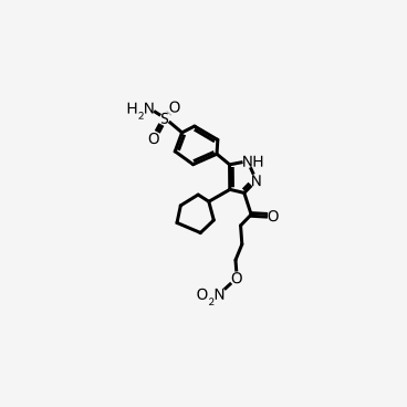 NS(=O)(=O)c1ccc(-c2[nH]nc(C(=O)CCCO[N+](=O)[O-])c2C2CCCCC2)cc1